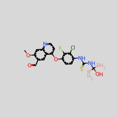 BC(B)(O)NC(=S)Nc1ccc(Oc2ccnc3cc(OC)c(C=O)cc23)c(F)c1Cl